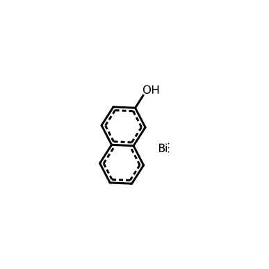 Oc1ccc2ccccc2c1.[Bi]